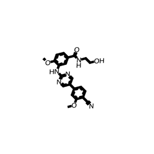 COc1cc(-c2cnc(Nc3cc(C(=O)NCCO)ccc3OC)nc2)ccc1C#N